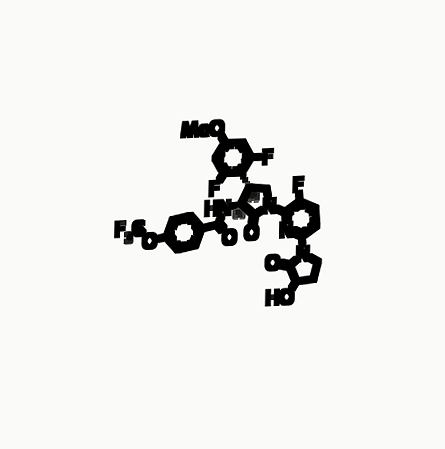 COc1cc(F)c([C@@H]2CN(c3nc(N4CCC(O)C4=O)ccc3F)C(=O)[C@H]2NC(=O)c2ccc(OC(F)(F)F)cc2)c(F)c1